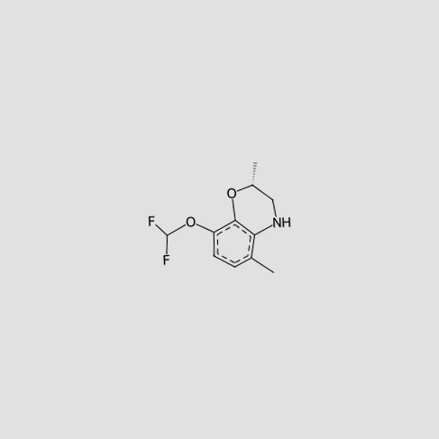 Cc1ccc(OC(F)F)c2c1NC[C@@H](C)O2